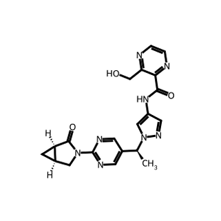 C[C@@H](c1cnc(N2C[C@H]3C[C@H]3C2=O)nc1)n1cc(NC(=O)c2nccnc2CO)cn1